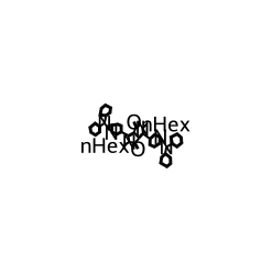 CCCCCCN1C(=O)C2=C(c3ccc(N(c4ccccc4)c4ccccc4)nc3)N(CCCCCC)C(=O)C2=C1c1ccc(N(c2ccccc2)c2ccccc2)nc1